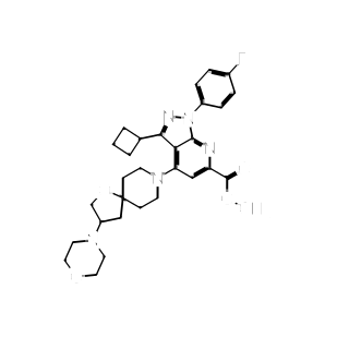 COC(=O)c1cc(N2CCC3(CC2)CC(N2CCOCC2)CO3)c2c(C3CCC3)nn(-c3ccc(F)cc3)c2n1